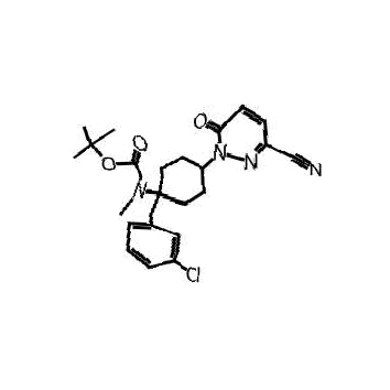 CN(C(=O)OC(C)(C)C)C1(c2cccc(Cl)c2)CCC(n2nc(C#N)ccc2=O)CC1